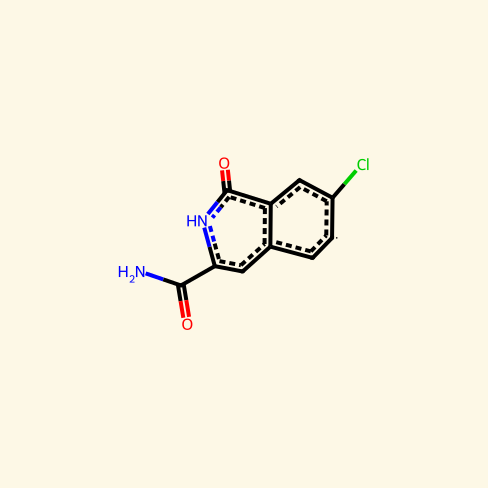 NC(=O)c1cc2c[c]c(Cl)cc2c(=O)[nH]1